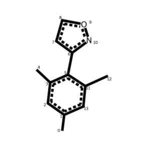 Cc1cc(C)c(-c2ccon2)c(C)c1